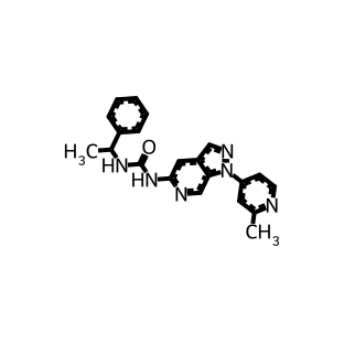 Cc1cc(-n2ncc3cc(NC(=O)NC(C)c4ccccc4)ncc32)ccn1